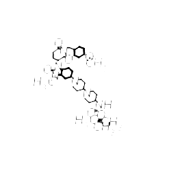 COc1ccc(CN2C(=O)CCC(n3c(=O)n(C)c4cc(N5CCC(N6CCC(NC(=O)OC(C)(C)C)CC6)CC5)ccc43)C2=O)cc1